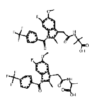 COc1cc2c(CC(=O)NC(C)(C)C(=O)O)c(C)n(C(=O)c3ccc(C(F)(F)F)cc3)c2cc1F.COc1cc2c(CC(=O)NC(C)C(=O)O)c(C)n(C(=O)c3ccc(C(F)(F)F)cc3)c2cc1F